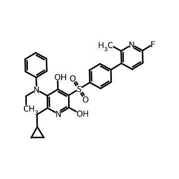 CCN(c1ccccc1)c1c(CC2CC2)nc(O)c(S(=O)(=O)c2ccc(-c3ccc(F)nc3C)cc2)c1O